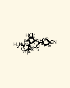 C[C@]1(c2cc(NC(=O)c3ccc(C#N)cn3)ccc2F)N=C(N)OCC1(F)F.Cl